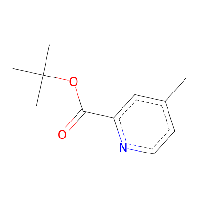 Cc1ccnc(C(=O)OC(C)(C)C)c1